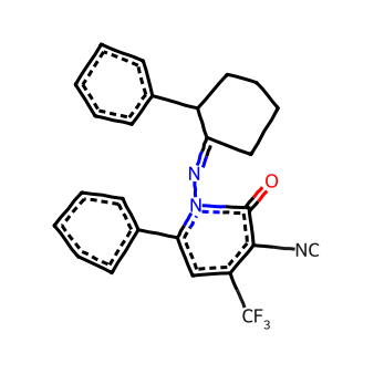 [C-]#[N+]c1c(C(F)(F)F)cc(-c2ccccc2)n(/N=C2\CCCCC2c2ccccc2)c1=O